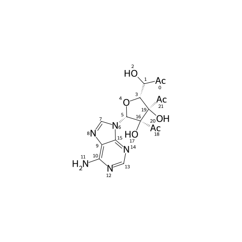 CC(=O)C(O)[C@H]1O[C@@H](n2cnc3c(N)ncnc32)[C@@](O)(C(C)=O)[C@@]1(O)C(C)=O